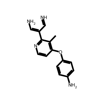 Cc1c(Oc2ccc(N)cc2)ccnc1/C(C=N)=C/N